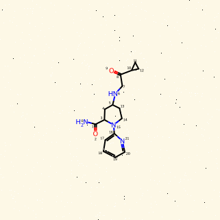 NC(=O)C1CC(NCC(=O)C2CC2)CCN1c1cc[c]cn1